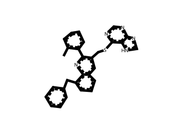 Cc1ccccc1-c1nc2c(Cc3ccccc3)cccc2cc1CSc1ncnc2nc[nH]c12